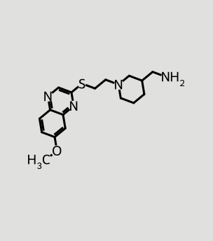 COc1ccc2ncc(SCCN3CCCC(CN)C3)nc2c1